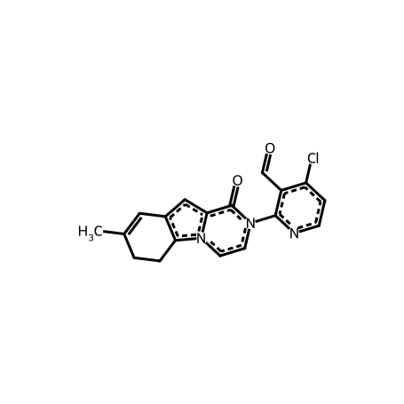 CC1=Cc2cc3c(=O)n(-c4nccc(Cl)c4C=O)ccn3c2CC1